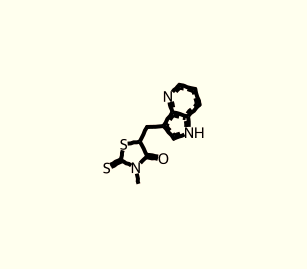 CN1C(=O)C(Cc2c[nH]c3cccnc23)SC1=S